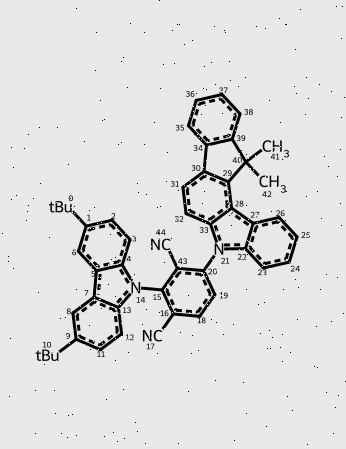 CC(C)(C)c1ccc2c(c1)c1cc(C(C)(C)C)ccc1n2-c1c(C#N)ccc(-n2c3ccccc3c3c4c(ccc32)-c2ccccc2C4(C)C)c1C#N